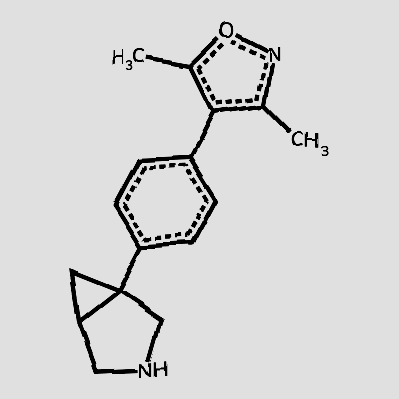 Cc1noc(C)c1-c1ccc(C23CNCC2C3)cc1